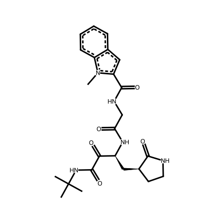 Cn1c(C(=O)NCC(=O)N[C@@H](C[C@@H]2CCNC2=O)C(=O)C(=O)NC(C)(C)C)cc2ccccc21